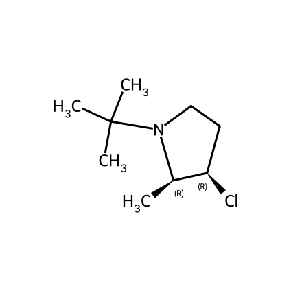 C[C@@H]1[C@H](Cl)CCN1C(C)(C)C